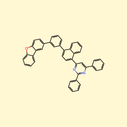 c1ccc(-c2cc(-c3ccc(-c4cccc(-c5ccc6oc7ccccc7c6c5)c4)c4ccccc34)nc(-c3ccccc3)n2)cc1